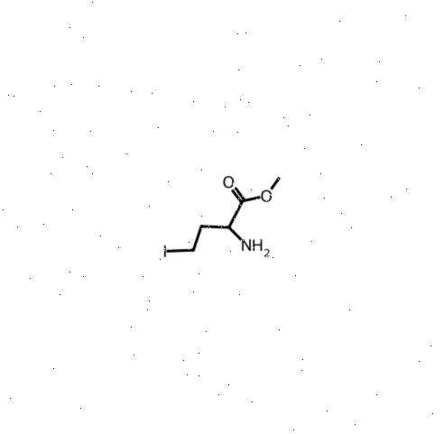 COC(=O)C(N)CCI